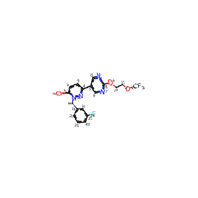 O=c1ccc(-c2cnc(OCCOC(F)(F)F)nc2)nn1Cc1cccc(F)c1